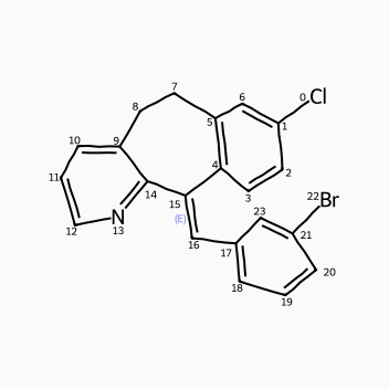 Clc1ccc2c(c1)CCc1cccnc1/C2=C/c1cccc(Br)c1